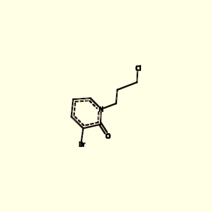 O=c1c(Br)cccn1CCCCl